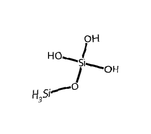 O[Si](O)(O)O[SiH3]